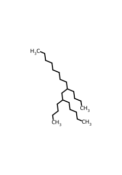 CCCCCCCCC(CCCC)CC(CCCC)CCCCC